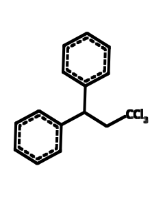 ClC(Cl)(Cl)CC(c1ccccc1)c1ccccc1